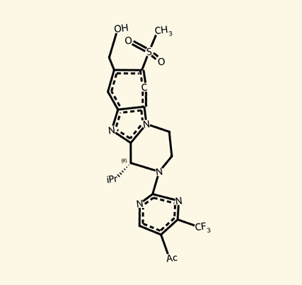 CC(=O)c1cnc(N2CCn3c(nc4cc(CO)c(S(C)(=O)=O)cc43)[C@H]2C(C)C)nc1C(F)(F)F